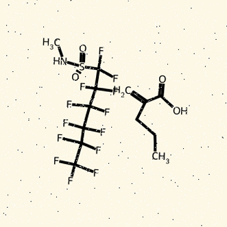 C=C(CCC)C(=O)O.CNS(=O)(=O)C(F)(F)C(F)(F)C(F)(F)C(F)(F)C(F)(F)C(F)(F)F